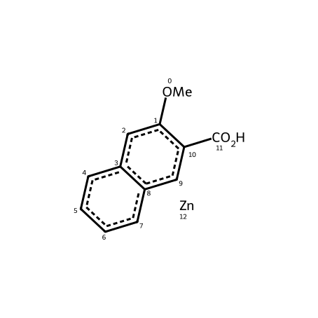 COc1cc2ccccc2cc1C(=O)O.[Zn]